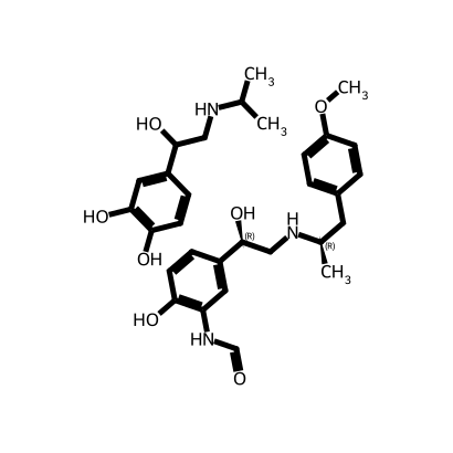 CC(C)NCC(O)c1ccc(O)c(O)c1.COc1ccc(C[C@@H](C)NC[C@H](O)c2ccc(O)c(NC=O)c2)cc1